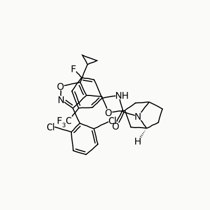 O=C(Nc1cc(F)cc(C(F)(F)F)c1)N1C2CC[C@H]1CC(OCc1c(-c3c(Cl)cccc3Cl)noc1C1CC1)C2